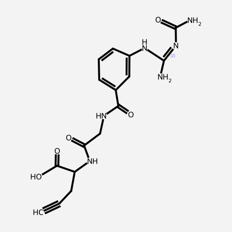 C#CCC(NC(=O)CNC(=O)c1cccc(N/C(N)=N\C(N)=O)c1)C(=O)O